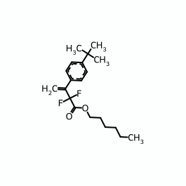 C=C(c1ccc(C(C)(C)C)cc1)C(F)(F)C(=O)OCCCCCC